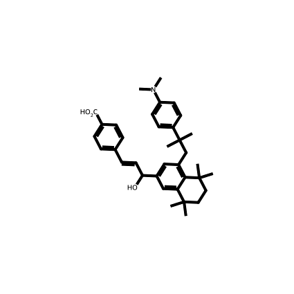 CN(C)c1ccc(C(C)(C)Cc2cc(C(O)/C=C/c3ccc(C(=O)O)cc3)cc3c2C(C)(C)CCC3(C)C)cc1